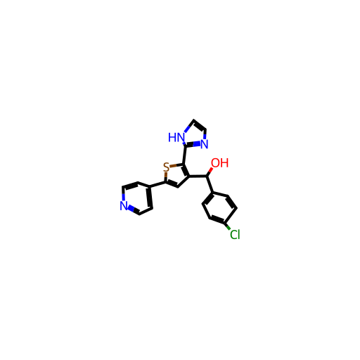 OC(c1ccc(Cl)cc1)c1cc(-c2ccncc2)sc1-c1ncc[nH]1